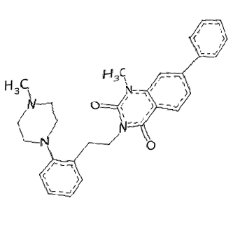 CN1CCN(c2ccccc2CCn2c(=O)c3ccc(-c4ccccc4)cc3n(C)c2=O)CC1